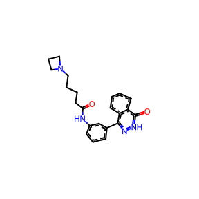 O=C(CCCCN1CCC1)Nc1cccc(-c2n[nH]c(=O)c3ccccc23)c1